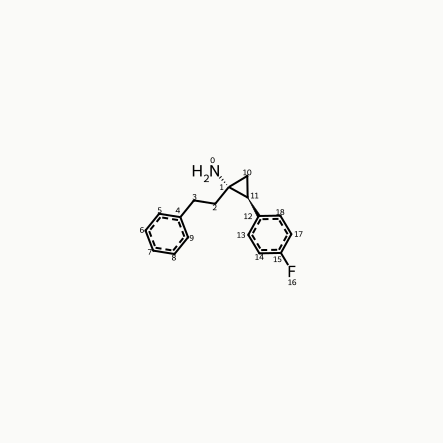 N[C@]1(CCc2ccccc2)C[C@H]1c1ccc(F)cc1